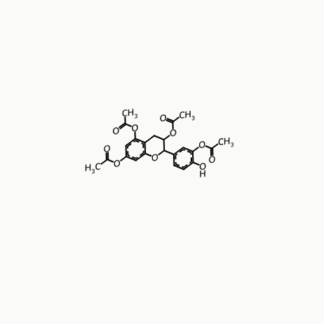 CC(=O)Oc1cc(OC(C)=O)c2c(c1)OC(c1ccc(O)c(OC(C)=O)c1)C(OC(C)=O)C2